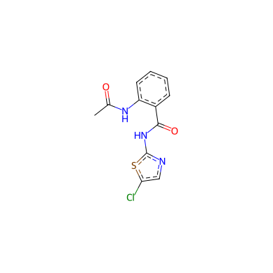 CC(=O)Nc1ccccc1C(=O)Nc1ncc(Cl)s1